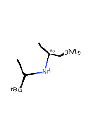 CO[C@H](C)NC(C)C(C)(C)C